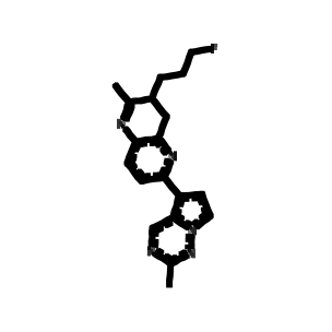 CC1=Nc2ccc(-c3ccn4nc(C)ncc34)nc2CC1CCCF